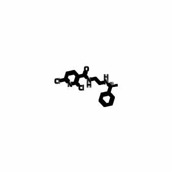 C[C@H](NCCNC(=O)c1ccc(Cl)nc1Cl)c1ccccc1